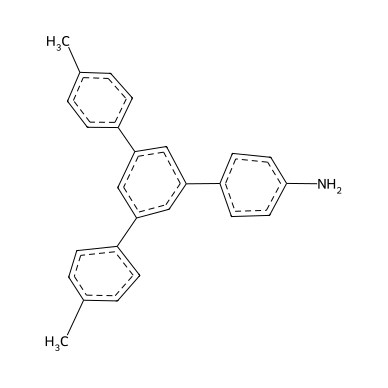 Cc1ccc(-c2cc(-c3ccc(C)cc3)cc(-c3ccc(N)cc3)c2)cc1